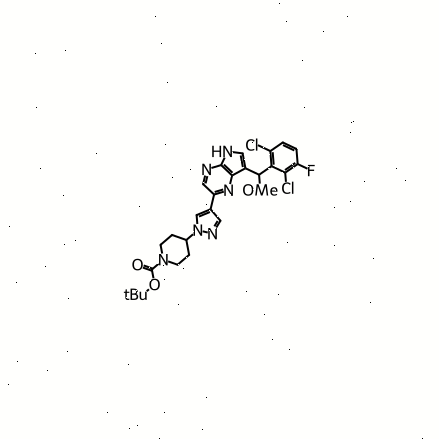 COC(c1c(Cl)ccc(F)c1Cl)c1c[nH]c2ncc(-c3cnn(C4CCN(C(=O)OC(C)(C)C)CC4)c3)nc12